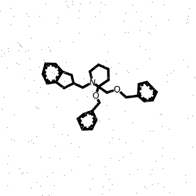 c1ccc(COCC2(OCc3ccccc3)CCCCN2CC2Cc3ccccc3C2)cc1